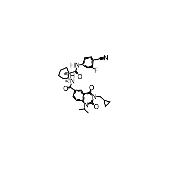 CC(C)n1c(=O)n(CC2CC2)c(=O)c2cc(C(=O)N[C@@H]3CCCC[C@H]3C(=O)Nc3ccc(C#N)c(F)c3)ccc21